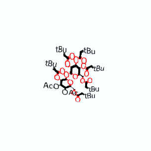 CC(=O)O[C@@H]1[C@@H](OC(=O)CC(C)(C)C)[C@@H](O[C@H]2O[C@H](COC(=O)CC(C)(C)C)[C@@H](OC(=O)CC(C)(C)C)[C@H](OC(=O)CC(C)(C)C)[C@H]2OC(=O)CC(C)(C)C)O[C@H](COC(=O)CC(C)(C)C)[C@H]1OC(C)=O